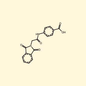 O=C(CN1C(=O)c2ccccc2C1=O)Nc1ccc(C(=O)O)cc1